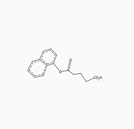 O=C(O)CCCC(=O)Oc1cccc2ccccc12